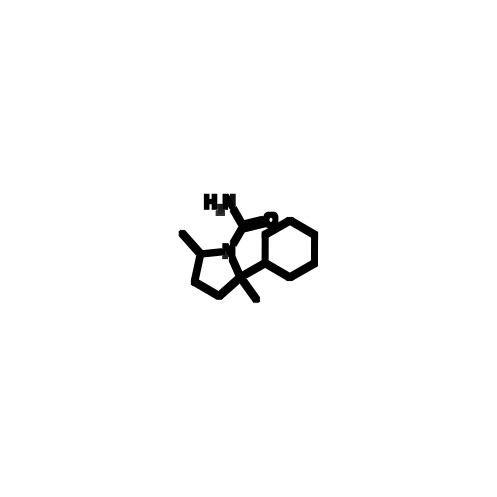 CC1CCC(C)(C2CCCCC2)N1C(N)=O